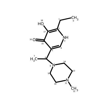 CCc1[nH]cc(C(C)N2CCN(C)CC2)c(=O)c1O